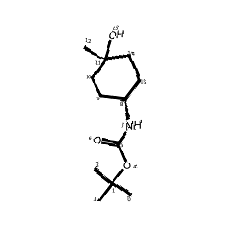 CC(C)(C)OC(=O)N[C@H]1CC[C@](C)(O)CC1